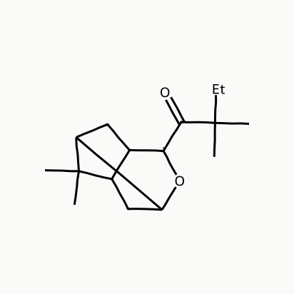 [CH2]CC(C)(C)C(=O)[C]1OC2CC3C1CC2C3(C)C